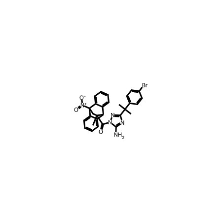 CC(C)(c1ccc(Br)cc1)c1nc(N)n(C(=O)C2(C)CC3([N+](=O)[O-])c4ccccc4C2c2ccccc23)n1